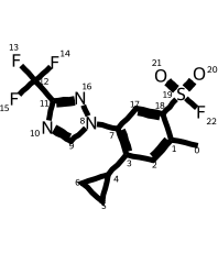 Cc1cc(C2CC2)c(-n2cnc(C(F)(F)F)n2)cc1S(=O)(=O)F